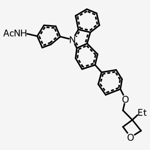 CCC1(COc2ccc(-c3ccc4c(c3)c3ccccc3n4-c3ccc(NC(C)=O)cc3)cc2)COC1